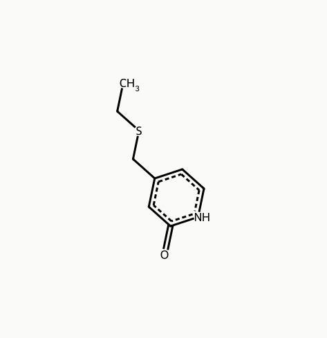 CCSCc1cc[nH]c(=O)c1